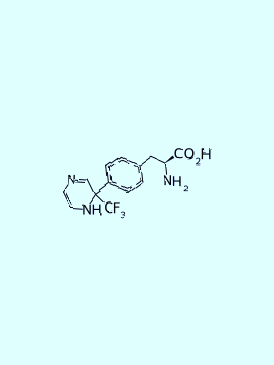 N[C@@H](Cc1ccc(C2(C(F)(F)F)C=NC=CN2)cc1)C(=O)O